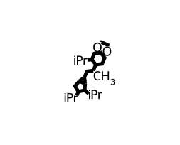 CC(C)C1CC2(CCC1C(C)CC1C3CC(C(C)C)C(C(C)C)C13)OCCO2